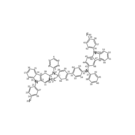 CC1(N(c2ccccc2)C2C=Cc3c(c4ccccc4n3-c3ccc(F)cc3)C2)C=CC(c2ccc(N(c3ccccc3)c3ccc4c(c3)c3ccccc3n4-c3ccc(F)cc3)cc2)=CC1